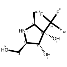 C[C@@H]1N[C@H](CO)[C@@H](O)[C@]1(O)C(F)(F)F